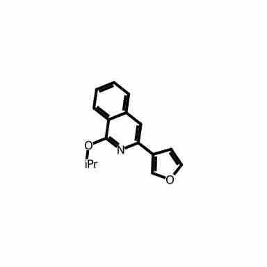 CC(C)Oc1nc(-c2ccoc2)cc2ccccc12